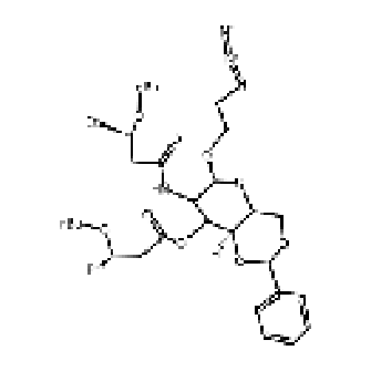 CCCCO[C@H](CC)CC(=O)NC1C(OC(=O)C[C@@H](CC)OCCCC)[C@@H]2OC(c3ccccc3)OCC2O[C@@H]1OCCN=[N+]=[N-]